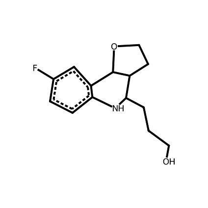 OCCCC1Nc2ccc(F)cc2C2OCCC12